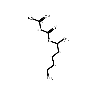 CCCCCC(C)OC(=O)OC(=O)O